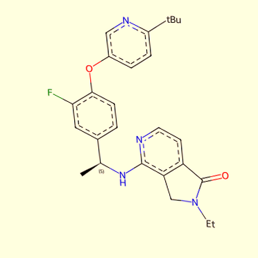 CCN1Cc2c(ccnc2N[C@@H](C)c2ccc(Oc3ccc(C(C)(C)C)nc3)c(F)c2)C1=O